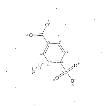 O=C([O-])c1ccc(S(=O)(=O)[O-])cc1.[Li+].[Li+]